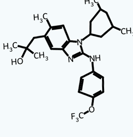 Cc1cc2c(cc1CC(C)(C)O)nc(Nc1ccc(OC(F)(F)F)cc1)n2C1CC(C)CC(C)C1